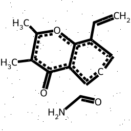 C=Cc1cccc2c(=O)c(C)c(C)oc12.NC=O